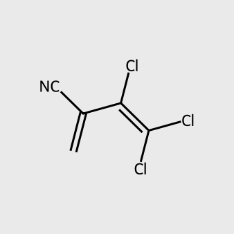 C=C(C#N)C(Cl)=C(Cl)Cl